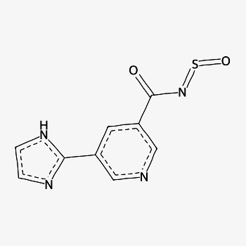 O=S=NC(=O)c1cncc(-c2ncc[nH]2)c1